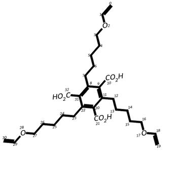 C=COCCCCCc1c(C(=O)O)c(CCCCCOC=C)c(C(=O)O)c(CCCCCOC=C)c1C(=O)O